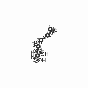 CNC(=O)c1cc(C(=O)Nc2ccc(Oc3c(C)cc(C(C)(C)c4cc(C)c(Oc5ccc(C)cc5C(F)(F)F)c(C)c4)cc3C)c(C(F)(F)F)c2)c(C(=O)O)cc1C(=O)O